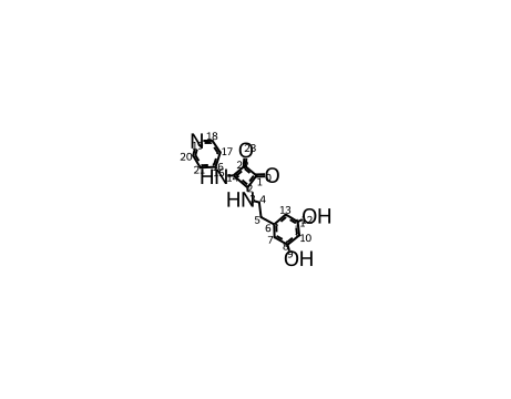 O=c1c(NCCc2cc(O)cc(O)c2)c(Nc2ccncc2)c1=O